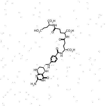 Nc1nc2c(c(=O)[nH]1)N[C@@H](CNc1ccc(C(=O)N[C@@H](CCC(=O)N[C@@H](CCC(=O)N[C@@H](CCC(=O)O)C(=O)O)C(=O)O)C(=O)O)cc1)CN2